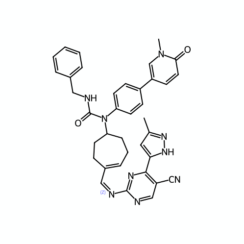 Cc1cc(-c2nc(/N=C\C3=CCCC(N(C(=O)NCc4ccccc4)c4ccc(-c5ccc(=O)n(C)c5)cc4)CC3)ncc2C#N)[nH]n1